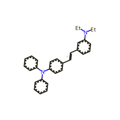 CCN(CC)c1cccc(/C=C/c2ccc(N(c3ccccc3)c3ccccc3)cc2)c1